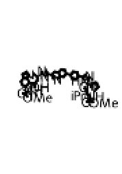 COC(=O)N[C@H]1CCc2ccn3c2C1C(=O)C[C@H](c1ncc(-c2cnc4cc(-c5ccc(-c6cnc([C@@H]7CCCN7C(=O)[C@@H](NC(=O)OC)C(C)C)[nH]6)cc5)ccc4c2)[nH]1)C3